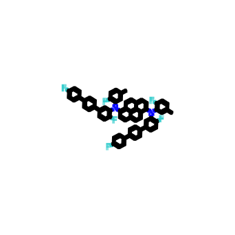 Cc1ccc(F)c(N(c2cc(-c3ccc(-c4ccc(F)cc4)cc3)ccc2F)c2ccc3ccc4c(N(c5cc(C)ccc5F)c5cc(-c6ccc(-c7ccc(F)cc7)cc6)ccc5F)ccc5ccc2c3c54)c1